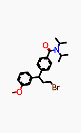 COc1cccc(C(CCBr)c2ccc(C(=O)N(C(C)C)C(C)C)cc2)c1